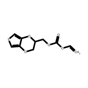 C=COC(=O)OCC1COc2cscc2O1